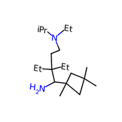 CCN(CCC(CC)(CC)C(N)C1(C)CC(C)(C)C1)C(C)C